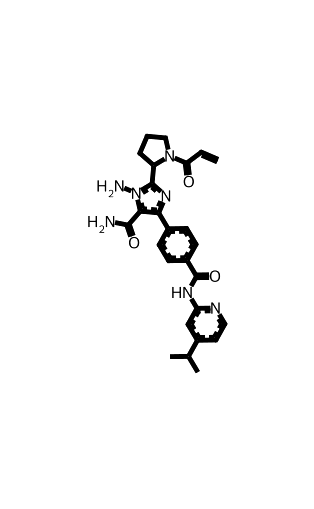 C=CC(=O)N1CCCC1c1nc(-c2ccc(C(=O)Nc3cc(C(C)C)ccn3)cc2)c(C(N)=O)n1N